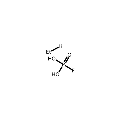 O=P(O)(O)F.[Li][CH2]C